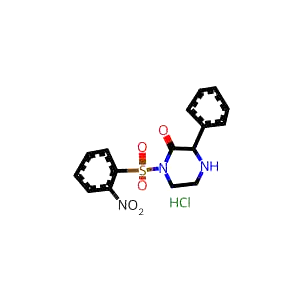 Cl.O=C1C(c2ccccc2)NCCN1S(=O)(=O)c1ccccc1[N+](=O)[O-]